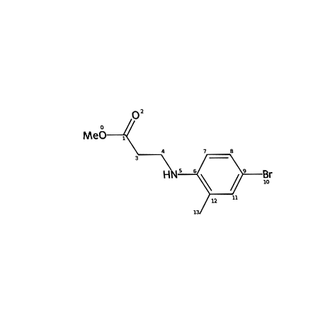 COC(=O)CCNc1ccc(Br)cc1C